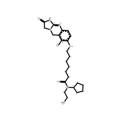 O=C1CN2Cc3c(ccc(OCCCCCCC(=O)N(CCO)C4CCCC4)c3Cl)N=C2N1